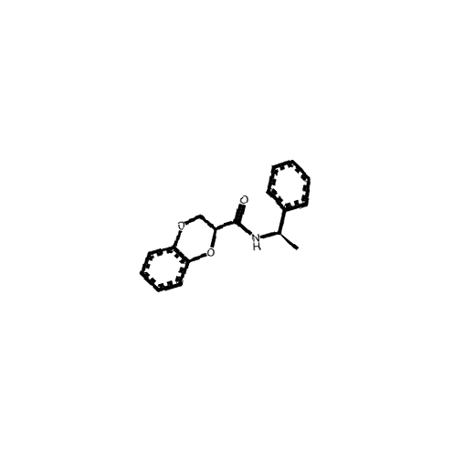 C[C@@H](NC(=O)C1COc2ccccc2O1)c1ccccc1